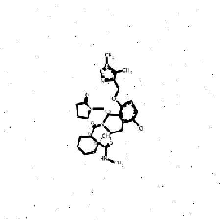 CNC(=O)[C@@]1(C)CCCC[C@H]1C(=O)N1CCc2c(Cl)ccc(OCc3nnn(C)c3C)c2[C@H]1CN1CCCC1=O